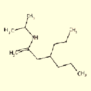 C=C(CC(CCC)CCC)NC(C)C